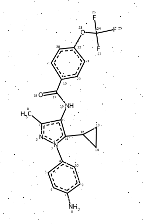 Cc1nn(-c2ccc(N)cc2)c(C2CC2)c1NC(=O)c1ccc(OC(F)(F)F)cc1